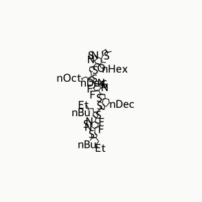 CCCCCCCCCCC(C)Cc1cc(-c2c(F)c(F)c(-c3cc(CC(CCCCCCCC)CCCCCCCCCC)c(-c4ccc(-c5c(OCCCCCC)c(C)c(-c6ccc(C)s6)c6nsnc56)s4)s3)c3nsnc23)sc1-c1ccc(-c2sc(-c3c(F)c(F)c(-c4cc(CC(CC)CCCC)c(C)s4)c4nsnc34)cc2CC(CC)CCCC)s1